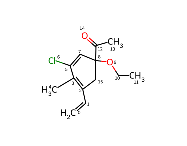 C=CC1=C(C)C(Cl)=CC(OCC)(C(C)=O)C1